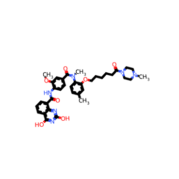 COc1cc(C(=O)N(C)c2ccc(C)cc2OCCCCCC(=O)N2CCN(C)CC2)ccc1NC(=O)c1cccc2c(O)nc(O)nc12